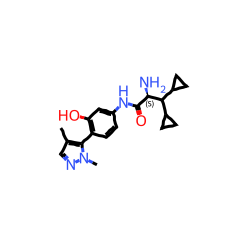 Cc1cnn(C)c1-c1ccc(NC(=O)[C@@H](N)C(C2CC2)C2CC2)cc1O